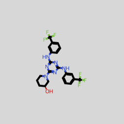 O[C@H]1CCCN(c2nc(Nc3cccc(C(F)(F)F)c3)nc(Nc3cccc(C(F)(F)F)c3)n2)C1